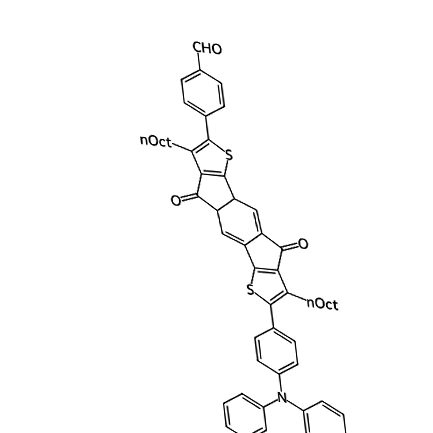 CCCCCCCCc1c(-c2ccc(N(c3ccccc3)c3ccccc3)cc2)sc2c1C(=O)C1=CC3c4sc(-c5ccc(C=O)cc5)c(CCCCCCCC)c4C(=O)C3C=C12